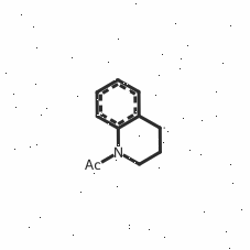 CC(=O)N1CC[CH]c2ccccc21